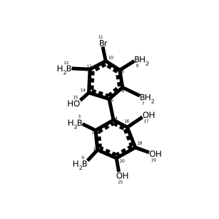 Bc1c(B)c(-c2c(B)c(B)c(Br)c(B)c2O)c(O)c(O)c1O